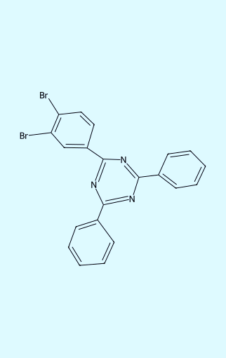 Brc1ccc(-c2nc(-c3ccccc3)nc(-c3ccccc3)n2)cc1Br